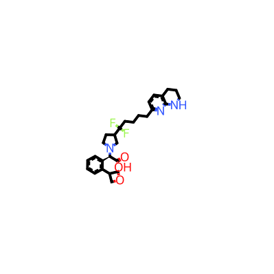 O=C(O)[C@@H](c1ccccc1C1COC1)N1CCC(C(F)(F)CCCCc2ccc3c(n2)NCCC3)C1